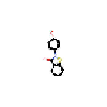 O=c1c2ccccc2sn1-c1ccc(O)cc1